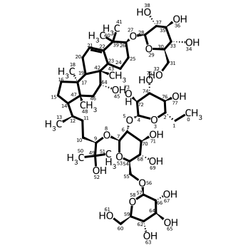 CC[C@@H]1O[C@H](O[C@H]2[C@H](O[C@H](CC[C@@H](C)C3CC[C@@]4(C)C5CC=C6C(CC[C@H](O[C@@H]7O[C@H](CO)[C@@H](O)[C@H](O)[C@H]7O)C6(C)C)[C@]5(C)[C@H](O)C[C@]34C)C(C)(C)O)O[C@H](CO[C@@H]3O[C@H](CO)[C@@H](O)[C@H](O)[C@H]3O)[C@@H](O)[C@@H]2O)[C@@H](O)[C@H](O)[C@H]1O